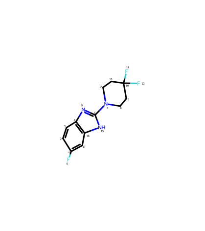 Fc1ccc2nc(N3CCC(F)(F)CC3)[nH]c2c1